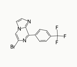 FC(F)(F)c1ccc(-c2nc(Br)cn3ccnc23)cc1